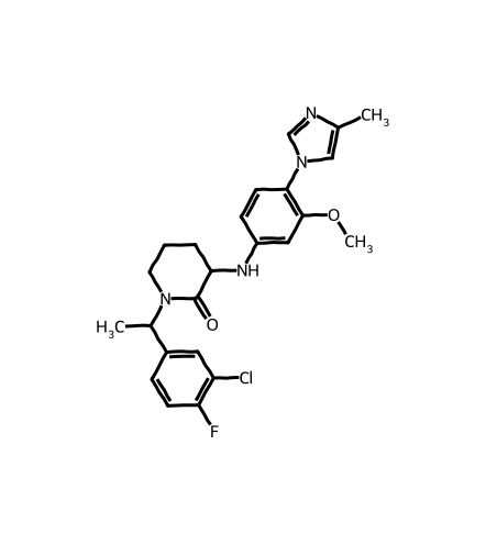 COc1cc(NC2CCCN(C(C)c3ccc(F)c(Cl)c3)C2=O)ccc1-n1cnc(C)c1